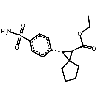 CCOC(=O)[C@@H]1[C@@H](c2ccc(S(N)(=O)=O)cc2)C12CCCC2